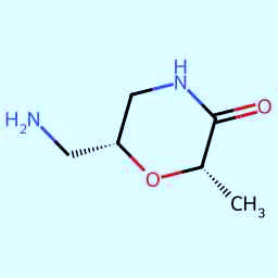 C[C@@H]1O[C@H](CN)CNC1=O